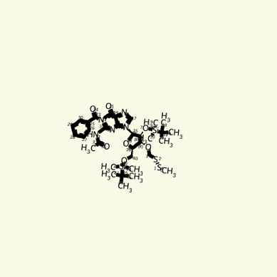 CSSCO[C@H]1[C@@H](O[Si](C)(C)C(C)(C)C)[C@H](n2cnc3c(=O)n(C(=O)c4ccccc4)c(NC(C)=O)nc32)O[C@@H]1CO[Si](C)(C)C(C)(C)C